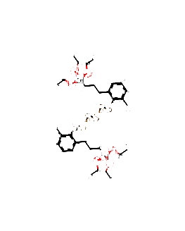 CCO[Si](CCCc1cccc(C)c1SSSSSSc1c(C)cccc1CCC[Si](OCC)(OCC)OCC)(OCC)OCC